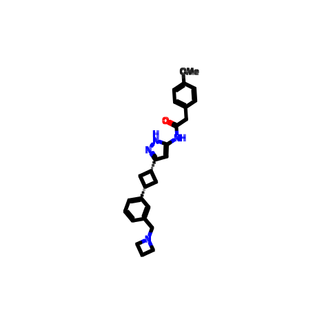 COc1ccc(CC(=O)Nc2cc([C@H]3C[C@@H](c4cccc(CN5CCC5)c4)C3)n[nH]2)cc1